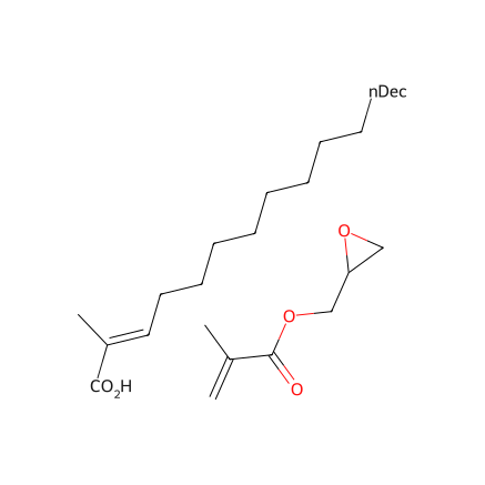 C=C(C)C(=O)OCC1CO1.CCCCCCCCCCCCCCCCCCC=C(C)C(=O)O